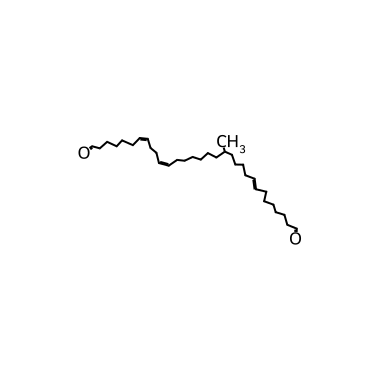 CC(CCCC/C=C/CCCCCCC=O)CCCCCC/C=C\CC/C=C\CCCCCC=O